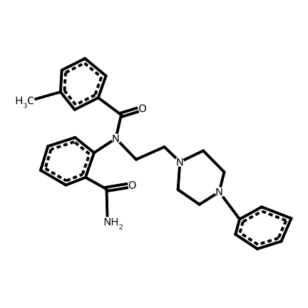 Cc1cccc(C(=O)N(CCN2CCN(c3ccccc3)CC2)c2ccccc2C(N)=O)c1